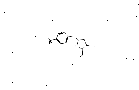 O=C(O)c1ccc(OC2CC(O)C(CO)O2)cc1